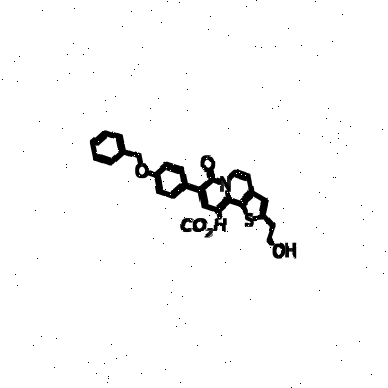 O=C(O)c1cc(-c2ccc(OCc3ccccc3)cc2)c(=O)n2ccc3cc(CCO)sc3c12